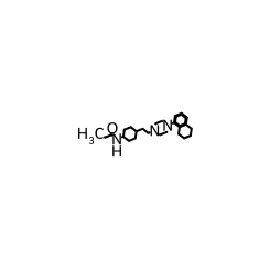 CCC(=O)NC1CCC(CCN2CCN(c3cccc4c3CCCC4)CC2)CC1